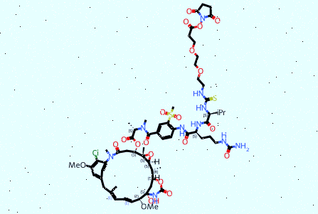 COc1cc2cc(c1Cl)N(C)C(=O)C[C@H](OC(=O)[C@H](C)N(C)C(=O)c1ccc(NC(=O)[C@H](CCCNC(N)=O)NC(=O)[C@@H](NC(=S)NCCOCCOCCC(=O)ON3C(=O)CCC3=O)C(C)C)c(S(C)(=O)=O)c1)[C@]1(C)O[C@H]1[C@H](C)[C@@H]1C[C@@](O)(NC(=O)O1)[C@H](OC)/C=C/C=C(\C)C2